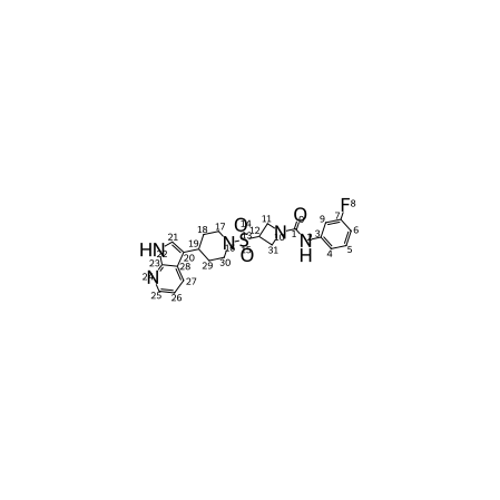 O=C(Nc1cccc(F)c1)N1CC(S(=O)(=O)N2CCC(c3c[nH]c4ncccc34)CC2)C1